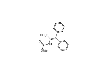 COC(=O)N/C(C(=O)O)=C(/c1ccccc1)c1cccnc1